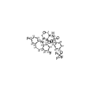 O=S(=O)(N[C@H]1COC[C@@H](N2c3ccc(F)cc3CCc3cc(F)ccc32)[C@@H]1O)c1ccc(OC(F)(F)F)cc1